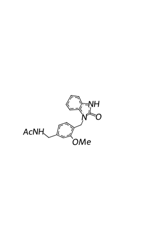 COc1cc(CNC(C)=O)ccc1Cn1c(=O)[nH]c2ccccc21